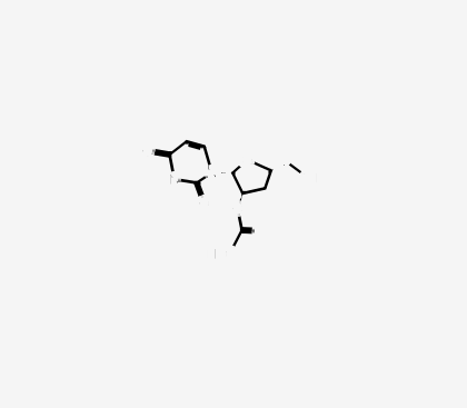 CC(=O)O[C@@H]1C[C@@H](CO)O[C@H]1n1ccc(=O)[nH]c1=O